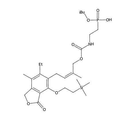 CCc1c(C)c2c(c(OCC[Si](C)(C)C)c1CC=C(C)COC(=O)NCCP(=O)(O)OC(C)CC)C(=O)OC2